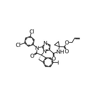 C=CCOC(=O)C1(NC(=O)c2cnc3n2[C@]2(Cc4ccc(I)cc42)C(=O)N3c2cc(Cl)cc(Cl)c2)CC1